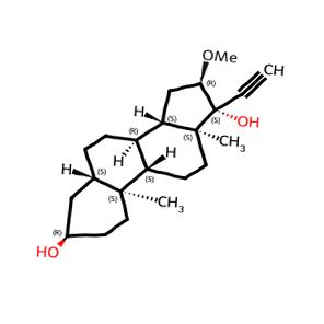 C#C[C@]1(O)[C@H](OC)C[C@H]2[C@@H]3CC[C@H]4C[C@H](O)CC[C@]4(C)[C@H]3CC[C@@]21C